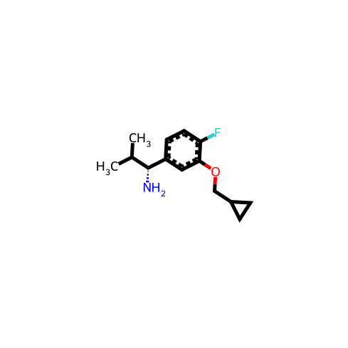 CC(C)[C@@H](N)c1ccc(F)c(OCC2CC2)c1